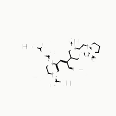 C=C/C(=C\C1=CN(C(C)=O)[C@@H](C)CN1C(=O)OC(C)C)C(CC)CN(C)CCN1CCCS1(=O)=O